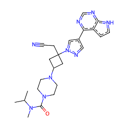 CC(C)N(C)C(=O)N1CCN(C2CC(CC#N)(n3cc(-c4ncnc5[nH]ccc45)cn3)C2)CC1